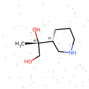 C[C@](O)(CO)[C@@H]1CCCNC1